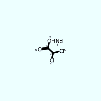 O=C(O)C(Cl)Cl.[Nd]